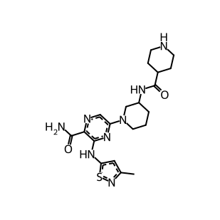 Cc1cc(Nc2nc(N3CCCC(NC(=O)C4CCNCC4)C3)cnc2C(N)=O)sn1